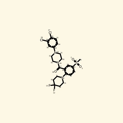 CS(=O)(=O)c1ccc(N2CCC(F)(F)CC2)c(C(=O)N2CCN(c3ccc(Cl)c(Cl)c3)CC2)c1